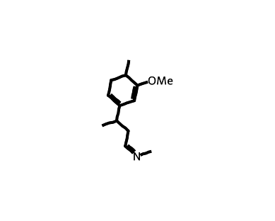 C/N=C\CC(C)C1=CCC(C)C(OC)=C1